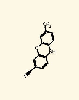 Cc1ccc2c(c1)Oc1cc(C#N)ccc1N2